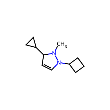 CN1C(C2CC2)C=CN1C1CCC1